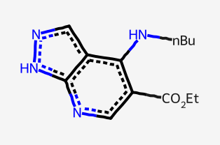 CCCCNc1c(C(=O)OCC)cnc2[nH]ncc12